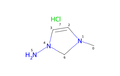 CN1C=CN(N)C1.Cl